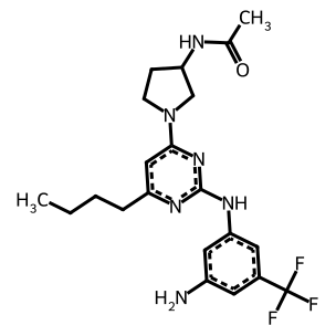 CCCCc1cc(N2CCC(NC(C)=O)C2)nc(Nc2cc(N)cc(C(F)(F)F)c2)n1